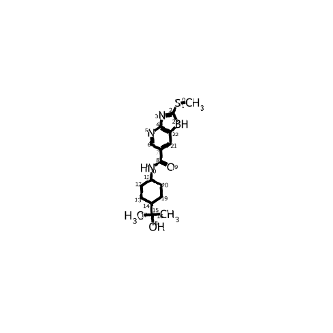 CSC1=Nc2ncc(C(=O)NC3CCC(C(C)(C)O)CC3)cc2B1